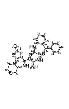 Cc1cc(C(=N)OC(=N)N[C@H]2N=C(c3ccccc3)c3ccccc3NC2=O)c(N2CCOCC2)s1